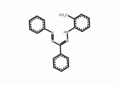 O=C(O)c1ccccc1N/N=C(\N=Nc1ccccc1)c1ccccc1